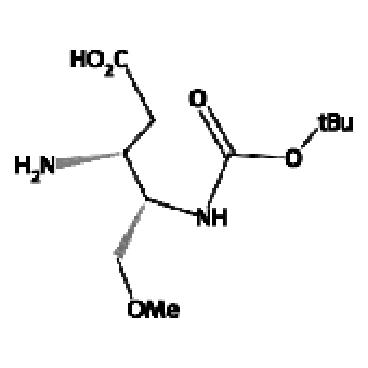 COC[C@@H](NC(=O)OC(C)(C)C)[C@H](N)CC(=O)O